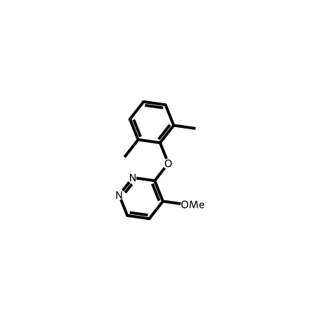 COc1ccnnc1Oc1c(C)cccc1C